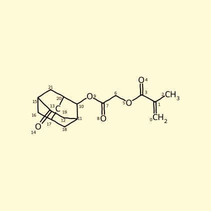 C=C(C)C(=O)OCC(=O)OC1C2CC(=O)C3CC(C2)CC1C3